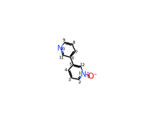 [O-][n+]1cccc(-c2cccnc2)c1